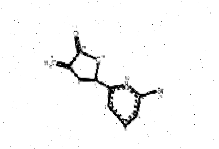 C=C1CC(c2cccc(Br)n2)OC1=O